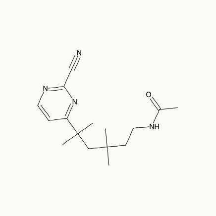 CC(=O)NCCC(C)(C)CC(C)(C)c1ccnc(C#N)n1